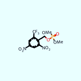 COP(=O)(OC)OCc1c([N+](=O)[O-])cc([N+](=O)[O-])cc1C(F)(F)F